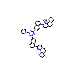 CN1c2c(ccc3cccnc23)C=CC1c1cccc2cc(-c3nc(-c4ccccc4)nc(-c4ccc5c(-c6ccc7ccc8cccnc8c7n6)cccc5c4)n3)ccc12